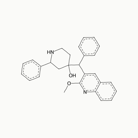 COc1nc2ccccc2cc1C(c1ccccc1)C1(O)CCNC(c2ccccc2)C1